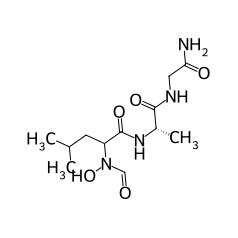 CC(C)CC(C(=O)N[C@@H](C)C(=O)NCC(N)=O)N(O)C=O